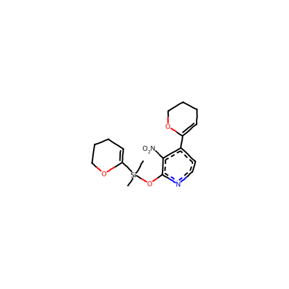 C[Si](C)(Oc1nccc(C2=CCCCO2)c1[N+](=O)[O-])C1=CCCCO1